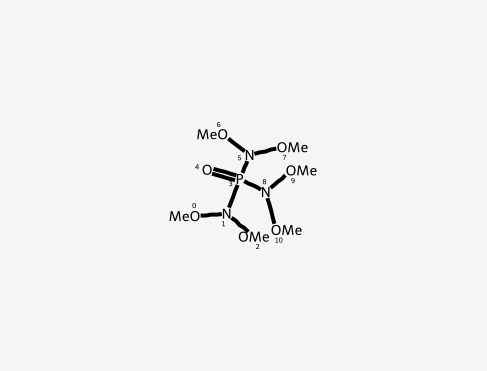 CON(OC)P(=O)(N(OC)OC)N(OC)OC